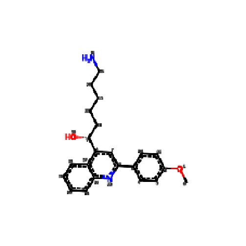 COc1ccc(-c2cc([C@H](O)CCCCCN)c3ccccc3n2)cc1